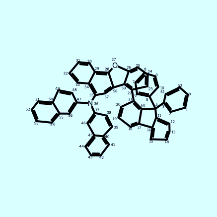 c1ccc(C2(c3ccccc3)c3ccccc3-c3cccc(-c4cccc5oc6c7ccccc7c(N(c7ccc8ccccc8c7)c7ccc8ccccc8c7)cc6c45)c32)cc1